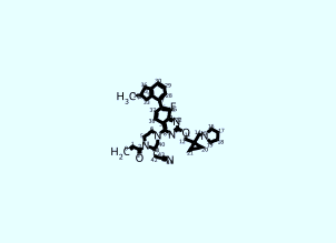 C=CC(=O)N1CCN(c2nc(OCC3(CN4CCCC4)CC3)nc3c(F)c(-c4cccc5c4C[C@@H](C)C5)ccc23)C[C@@H]1CC#N